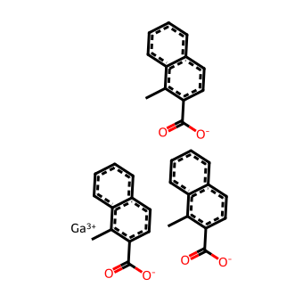 Cc1c(C(=O)[O-])ccc2ccccc12.Cc1c(C(=O)[O-])ccc2ccccc12.Cc1c(C(=O)[O-])ccc2ccccc12.[Ga+3]